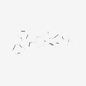 C[C@@H](c1ccc(C(F)(F)F)cc1)C1(C#N)CCN(C(=O)c2cccnc2-c2ccncn2)CC1